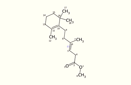 COC(=O)C/C=C(\C)CCC1=C(C)CCCC1(C)C